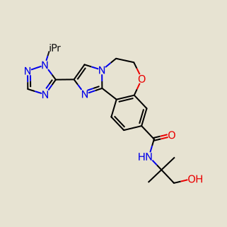 CC(C)n1ncnc1-c1cn2c(n1)-c1ccc(C(=O)NC(C)(C)CO)cc1OCC2